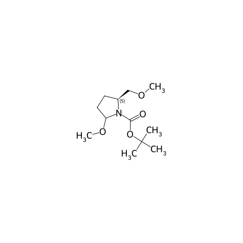 COC[C@@H]1CCC(OC)N1C(=O)OC(C)(C)C